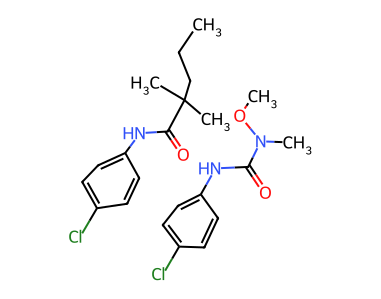 CCCC(C)(C)C(=O)Nc1ccc(Cl)cc1.CON(C)C(=O)Nc1ccc(Cl)cc1